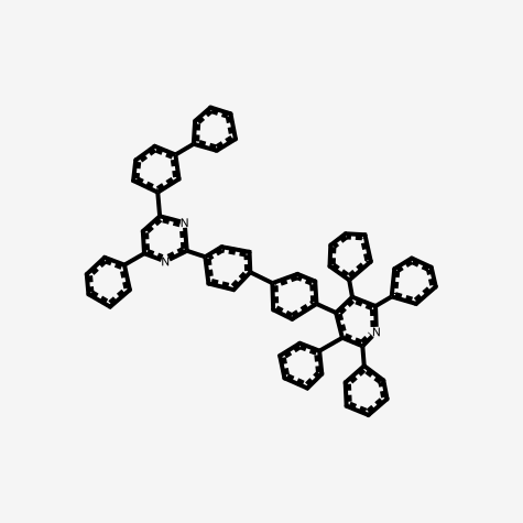 c1ccc(-c2cccc(-c3cc(-c4ccccc4)nc(-c4ccc(-c5ccc(-c6c(-c7ccccc7)c(-c7ccccc7)nc(-c7ccccc7)c6-c6ccccc6)cc5)cc4)n3)c2)cc1